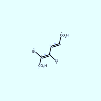 CCC(/C=C/C(=O)O)=C(/CC)C(=O)O